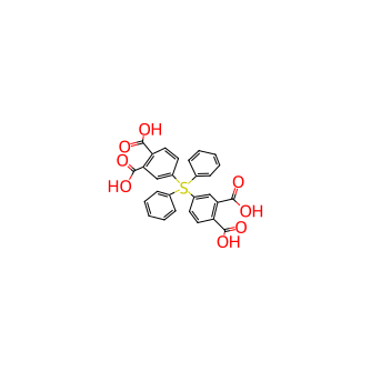 O=C(O)c1ccc(S(c2ccccc2)(c2ccccc2)c2ccc(C(=O)O)c(C(=O)O)c2)cc1C(=O)O